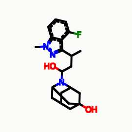 CC(CC(O)N1C2CC3CC1CC(O)(C3)C2)c1nn(C)c2cccc(F)c12